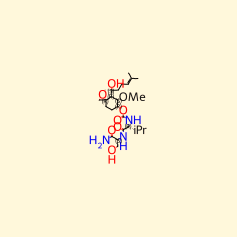 CO[C@@H]1[C@H](OC(=O)N[C@@H](C(=O)N[C@@H](CO)C(N)=O)C(C)C)CC[C@]2(CO2)[C@H]1[C@@](C)(O)CCC=C(C)C